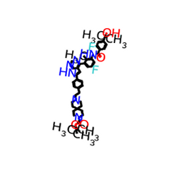 Cc1c(NC(=O)c2ccc(C(C)(C)O)cc2F)cc(F)cc1-c1ncnc2[nH]c(-c3ccc(CCN4CCC5(CC4)CCN(C(=O)OC(C)(C)C)CC5)cc3)cc12